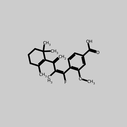 C=C(C(C)=C(F)c1ccc(C(=O)O)cc1OC)C1=C(C)CCCC1(C)C